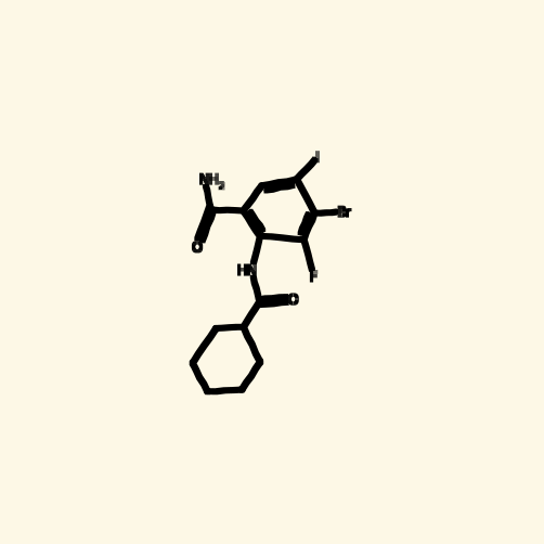 NC(=O)c1cc(I)c(Br)c(F)c1NC(=O)C1CCCCC1